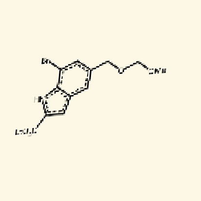 CCOC(=O)c1cc2cc(COCOC)cc(Br)c2[nH]1